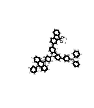 CC1(C)c2ccccc2-c2ccc(-c3ccc4c(c3)c3cc(-c5ccc(N(c6ccccc6)c6ccccc6)cc5)ccc3n4-c3ccc(-c4c5ccccc5c(-c5ccccc5)c5ccccc45)cc3)cc21